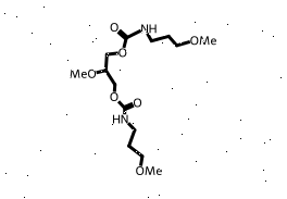 COCCCNC(=O)OCC(COC(=O)NCCCOC)OC